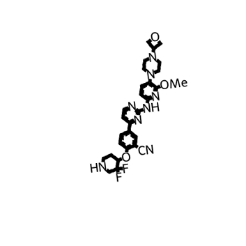 COc1nc(Nc2nccc(-c3ccc(OC4CCNCC4(F)F)c(C#N)c3)n2)ccc1N1CCN(C2COC2)CC1